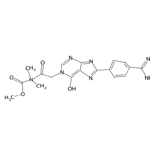 COC(=O)[N+](C)(C)C(=O)Cn1cnc2nc(-c3ccc(C(=N)N)cc3)nc-2c1O